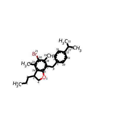 CCCC1COc2c(Cc3ccc(C(C)C)cc3)c(C)c(Br)c(C)c21